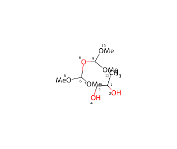 CC(O)CO.COC(OC)OC(OC)OC